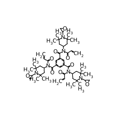 C=CC(=O)N(C(=O)c1cc(C(=O)N(C(=O)C=C)C2CC(C)(C)N(C3CO3)C(C)(C)C2)cc(C(=O)N(C(=O)C=C)C2CC(C)(C)N(C3CO3)C(C)(C)C2)c1)C1CC(C)(C)N(C2CO2)C(C)(C)C1